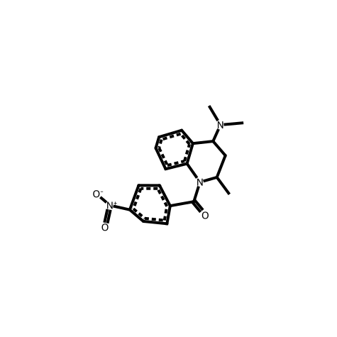 CC1CC(N(C)C)c2ccccc2N1C(=O)c1ccc([N+](=O)[O-])cc1